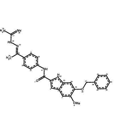 COc1cc2cc(C(=O)Nc3ccc(/C(C)=N/NC(=N)N)cc3)[nH]c2cc1OCc1ccccc1